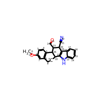 COc1ccc2c(c1)CCC1c3[nH]c4ccccc4c3C(C#N)C(C=O)C21